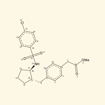 COC(=O)Cc1ccc(C[C@@H]2CCC[C@H]2NS(=O)(=O)c2ccc(Cl)cc2)cc1